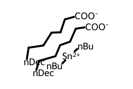 CCCCCCCCCCCCCCCC(=O)[O-].CCCCCCCCCCCCCCCC(=O)[O-].CCC[CH2][Sn+2][CH2]CCC